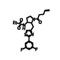 C=CCCC(=O)N1CCC(NS(=O)(=O)CC)C1Cc1csc(-c2cc(F)cc(F)c2)n1